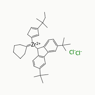 CCC(C)(C)C1=CC[C]([Zr+2](=[C]2CCCCC2)[CH]2c3ccc(C(C)(C)C)cc3-c3cc(C(C)(C)C)ccc32)=C1.[Cl-].[Cl-]